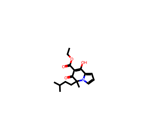 CCOC(=O)C1=C(O)c2cccn2C(C)(CCC(C)C)C1=O